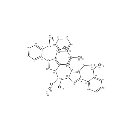 CCC1=[C]([Zr+2]([C]2=C(CC)C(c3ccccc3CC)=CC2CC)=[Si](C)c2ccccc2)C(CC)C=C1c1ccccc1CC.[Cl-].[Cl-]